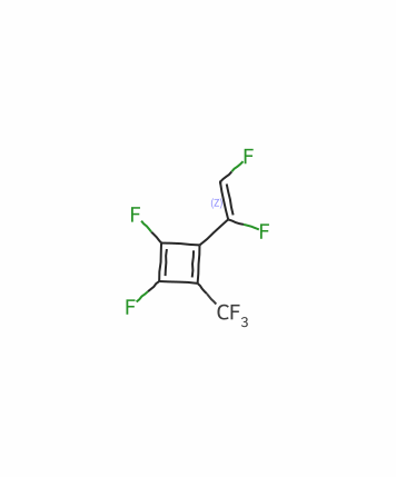 F/C=C(\F)C1=C(C(F)(F)F)C(F)=C1F